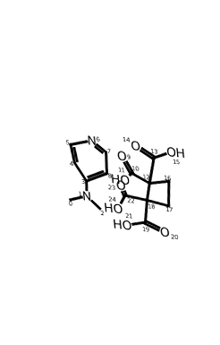 CN(C)c1ccncc1.O=C(O)C1(C(=O)O)CCC1(C(=O)O)C(=O)O